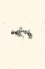 C[S@+]([O-])c1cc(N2CCN(CCNc3nc(N)n4nc(-c5ccco5)cc4n3)CC2)c(F)cc1F